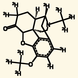 [2H]c1c([2H])c(OC([2H])([2H])[2H])c2c3c1C[C@]1([2H])[C@@H]4CC([2H])([2H])C(=O)C(O2)[C@]34CCN1C([2H])([2H])[2H]